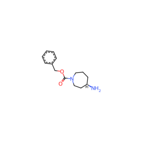 N[C@@H]1CCCN(C(=O)OCc2ccccc2)CC1